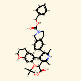 Cc1nc(C)c(C(OC(C)(C)C)C(=O)O)c(-c2ccc3c(c2)CCCO3)c1-c1ccc2c(c1)CCN(C(=O)OCc1ccccc1)C2